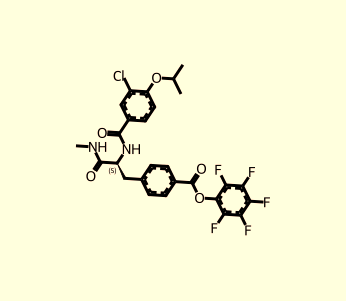 CNC(=O)[C@H](Cc1ccc(C(=O)Oc2c(F)c(F)c(F)c(F)c2F)cc1)NC(=O)c1ccc(OC(C)C)c(Cl)c1